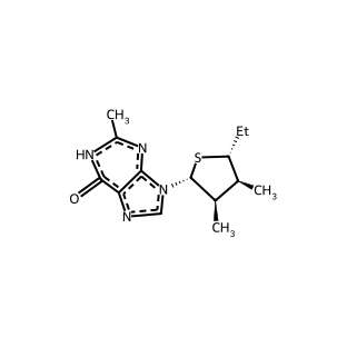 CC[C@H]1S[C@@H](n2cnc3c(=O)[nH]c(C)nc32)[C@H](C)[C@@H]1C